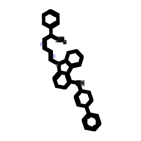 NC(/C=C\C=C\N1C2=CCCC(NC3C=CC(c4ccccc4)CC3)=C2C2=CCCCC21)C1=CC=CCC1